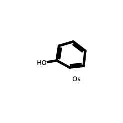 Oc1ccccc1.[Os]